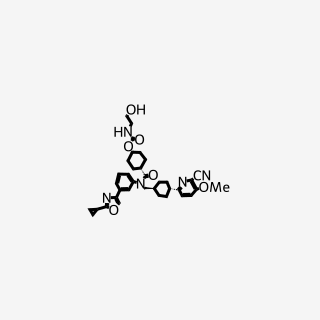 COc1ccc([C@H]2CC[C@H](CN(c3cccc(-c4coc(C5CC5)n4)c3)C(=O)[C@H]3CC[C@H](OC(=O)NCCO)CC3)CC2)nc1C#N